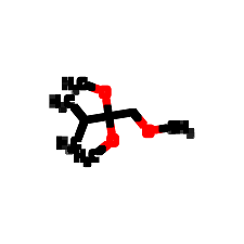 COC(CO[SiH3])(OC)C(C)C